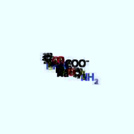 NSc1ccc(OCC2=C(C(=O)[O-])N3C(=O)C(NC(=O)C(=S)c4ccccc4)[C@@H]3SC2)cc1.[Na+]